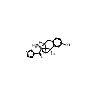 CN1CC[C@@]2(C)c3cc(O)ccc3C[C@@H]1[C@H]2N(C)C(=O)c1ccsc1